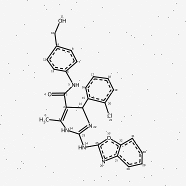 CC1=C(C(=O)Nc2ccc(CO)cc2)C(c2ccccc2Cl)N=C(Nc2nc3ccccc3o2)N1